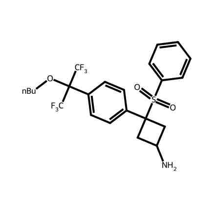 CCCCOC(c1ccc(C2(S(=O)(=O)c3ccccc3)CC(N)C2)cc1)(C(F)(F)F)C(F)(F)F